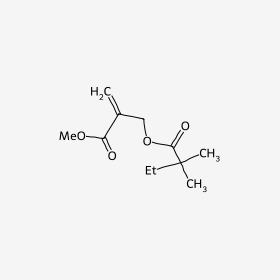 C=C(COC(=O)C(C)(C)CC)C(=O)OC